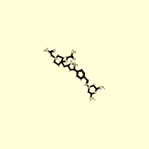 CC1CN(N=Cc2ccc(C3CC(CC4(OCC(=O)O)CCN(CC(=O)O)CC4)ON3)cc2)CC(C)O1